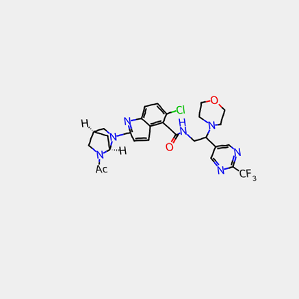 CC(=O)N1C[C@@H]2C[C@H]1N(c1ccc3c(C(=O)NCC(c4cnc(C(F)(F)F)nc4)N4CCOCC4)c(Cl)ccc3n1)C2